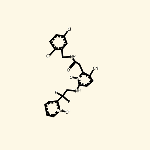 N#Cc1ccc(NCC(F)(F)c2cccc[n+]2[O-])[n+]([O-])c1CC(=O)NCc1cc(Cl)ccc1Cl